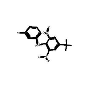 CC(C)(C)c1cc([N+](=O)[O-])c(Nc2cccc(Cl)c2)c([N+](=O)[O-])c1